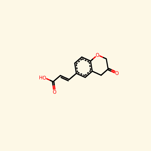 O=C(O)C=Cc1ccc2c(c1)CC(=O)CO2